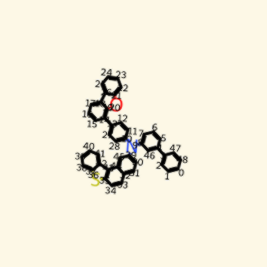 c1ccc(-c2cccc(N(c3ccc(-c4cccc5c4oc4ccccc45)cc3)c3ccc4ccc5sc6ccccc6c5c4c3)c2)cc1